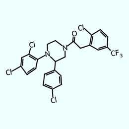 O=C(Cc1cc(C(F)(F)F)ccc1Cl)N1CCN(c2ccc(Cl)cc2Cl)C(c2ccc(Cl)cc2)C1